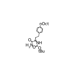 CCCCCCCCc1ccc(CC[C@@H](NC(=O)OC(C)(C)C)C(N)=O)cc1